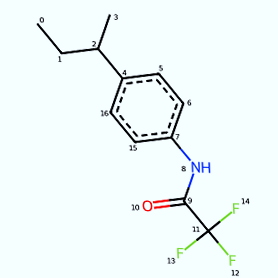 CCC(C)c1ccc(NC(=O)C(F)(F)F)cc1